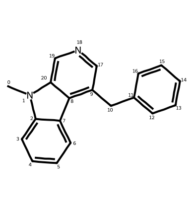 Cn1c2ccccc2c2c(Cc3ccccc3)cncc21